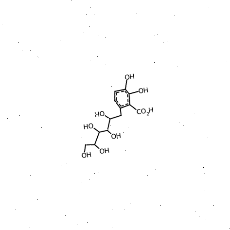 O=C(O)c1c(CC(O)C(O)C(O)C(O)CO)ccc(O)c1O